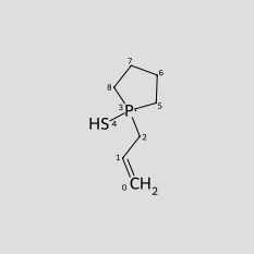 C=CC[P]1(S)CCCC1